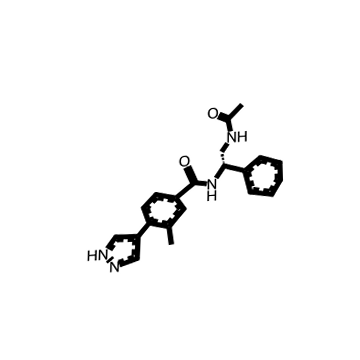 CC(=O)NC[C@@H](NC(=O)c1ccc(-c2cn[nH]c2)c(C)c1)c1ccccc1